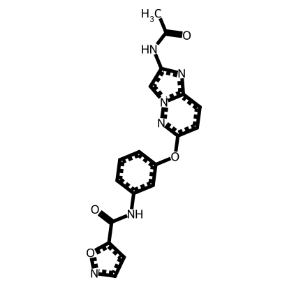 CC(=O)Nc1cn2nc(Oc3cccc(NC(=O)c4ccno4)c3)ccc2n1